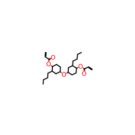 C=CC(=O)OC1CCC(OC2CCC(OC(=O)C=C)C(CCCC)C2)CC1CCCC